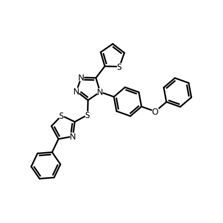 c1ccc(Oc2ccc(-n3c(Sc4nc(-c5ccccc5)cs4)nnc3-c3cccs3)cc2)cc1